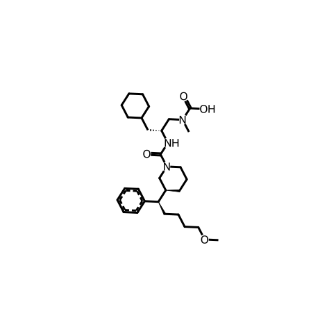 COCCCC[C@@H](c1ccccc1)[C@@H]1CCCN(C(=O)N[C@H](CC2CCCCC2)CN(C)C(=O)O)C1